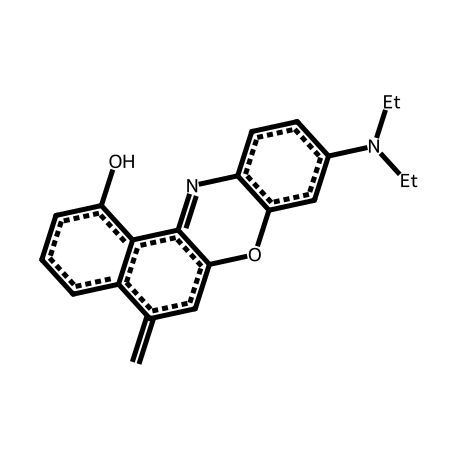 C=c1cc2c(c3c(O)cccc13)=Nc1ccc(N(CC)CC)cc1O2